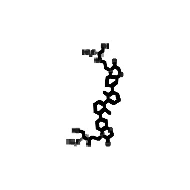 Cc1c(-c2ccc3c(c2)OCC(=O)N3CCN[C@@H](CO)C(=O)O)cccc1-c1cccc(-c2ccc3c(c2)OCC(=O)N3CCN[C@@H](CO)C(=O)O)c1C